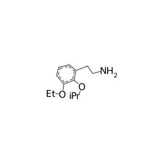 CCOc1cccc(CCN)c1OC(C)C